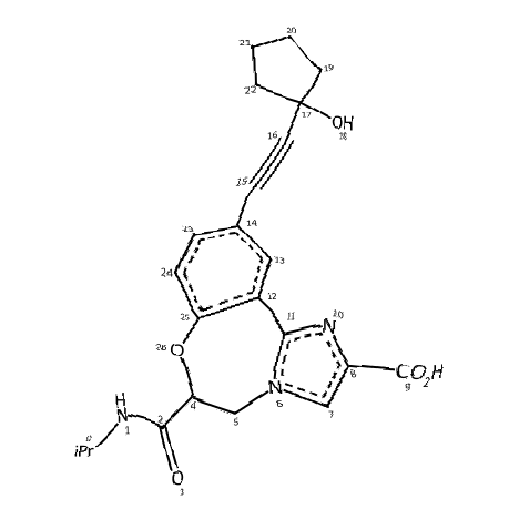 CC(C)NC(=O)C1Cn2cc(C(=O)O)nc2-c2cc(C#CC3(O)CCCC3)ccc2O1